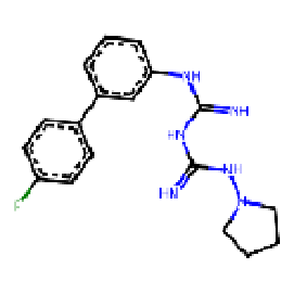 N=C(NC(=N)NN1CCCC1)Nc1cccc(-c2ccc(F)cc2)c1